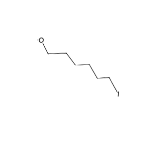 [O]CCCCCCI